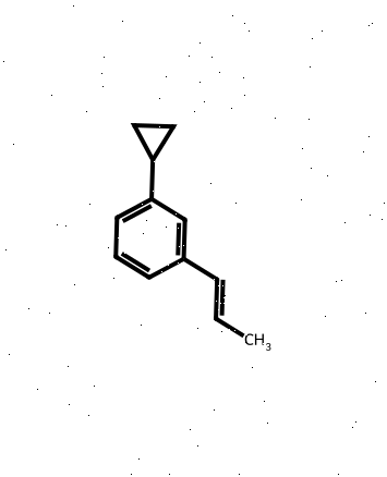 C/C=C/c1cccc(C2CC2)c1